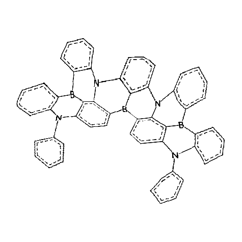 c1ccc(N2c3ccccc3B3c4ccccc4N4c5cccc6c5B(c5ccc2c3c54)c2ccc3c4c2N6c2ccccc2B4c2ccccc2N3c2ccccc2)cc1